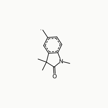 [CH2]c1ccc2c(c1)C(C)(C)C(=O)N2C